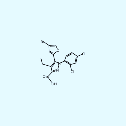 CCc1c(C(=O)O)nn(-c2ccc(Cl)cc2Cl)c1-c1cc(Br)co1